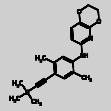 Cc1cc(Nc2ccc3c(n2)OCCO3)c(C)cc1C#C[Si](C)(C)C